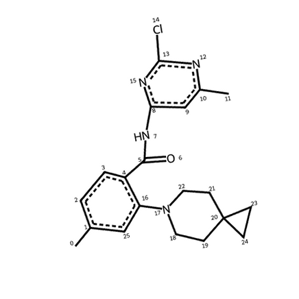 Cc1ccc(C(=O)Nc2cc(C)nc(Cl)n2)c(N2CCC3(CC2)CC3)c1